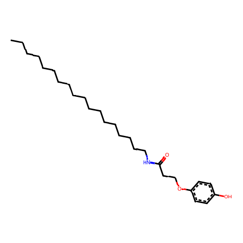 CCCCCCCCCCCCCCCCCCNC(=O)CCOc1ccc(O)cc1